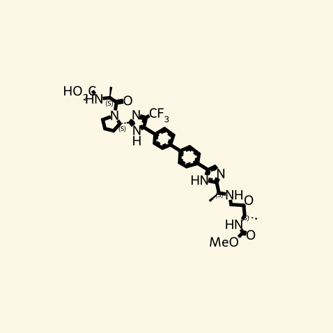 COC(=O)N[C@@H](C)C(=O)CN[C@@H](C)c1ncc(-c2ccc(-c3ccc(-c4[nH]c([C@@H]5CCCN5C(=O)[C@H](C)NC(=O)O)nc4C(F)(F)F)cc3)cc2)[nH]1